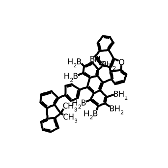 Bc1c(B)c(B)c2c(-c3cccc4oc5c6ccccc6ccc5c34)c3c(B)c(B)c(B)c(B)c3c(-c3ccc(-c4cccc5c4C(C)(C)c4ccccc4-5)cc3)c2c1B